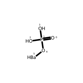 O=P(O)(O)[O][BaH]